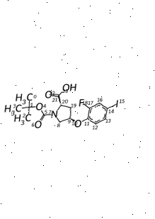 CC(C)(C)OC(=O)N1C[C@H](Oc2ccc(I)cc2F)C[C@@H]1C(=O)O